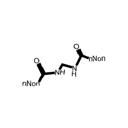 CCCCCCCCCC(=O)NCNC(=O)CCCCCCCCC